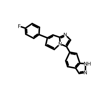 Fc1ccc(-c2ccn3c(-c4ccc5cn[nH]c5c4)cnc3c2)cc1